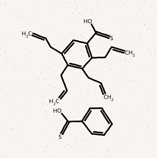 C=CCc1cc(C(O)=S)c(CC=C)c(CC=C)c1CC=C.OC(=S)c1ccccc1